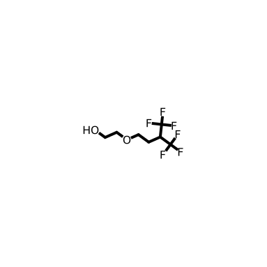 OCCOCCC(C(F)(F)F)C(F)(F)F